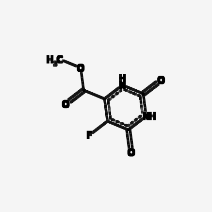 COC(=O)c1[nH]c(=O)[nH]c(=O)c1F